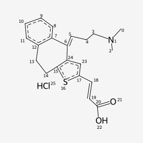 CN(C)CC/C=C1/c2ccccc2CCc2sc(/C=C/C(=O)O)cc21.Cl